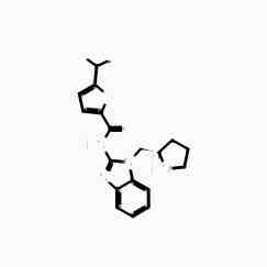 O=C(Nc1nc2ccccc2n1C[C@H]1CCCN1)c1ccc(C(F)F)s1